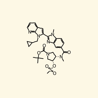 CN(C(=O)c1ccc2c(c1)nc(-c1cc3cccnc3n1CC1CC1)n2C)[C@H]1CN(C(=O)OC(C)(C)C)C[C@H]1OS(C)(=O)=O